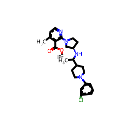 Cc1ccnc(N2CC[C@@H](NC(C)C3CCN(c4cccc(Cl)c4)CC3)C2)c1C(=O)OC(C)C